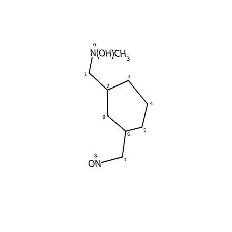 CN(O)CC1CCCC(CN=O)C1